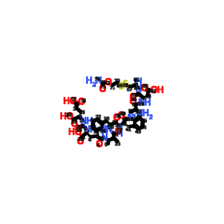 CC(NC(=O)CC[C@H](NC(=O)N[C@@H](CCC(=O)O)C(=O)O)C(=O)O)C(C)C(=O)N[C@@H](Cc1ccccc1)C(=O)N[C@@H](Cc1ccccc1)C(=O)NC[C@H](N)C(=O)N[C@@H](CC(=O)O)C(=O)N[C@@H](C)CSSCCOC(N)=O